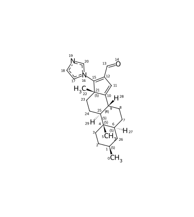 C[C@H]1CC[C@@]2(C)[C@@H](CC[C@H]3C4=CC(C=O)=C(n5ccnc5)[C@@]4(C)CC[C@@H]32)C1